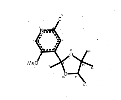 COc1cnc(Cl)cc1C1(C)OC(C)C(C)(C)O1